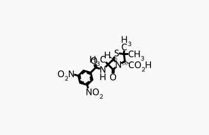 CC1(C)S[C@H]2N(C(=O)C2(C)NC(=O)c2cc([N+](=O)[O-])cc([N+](=O)[O-])c2)[C@H]1C(=O)O